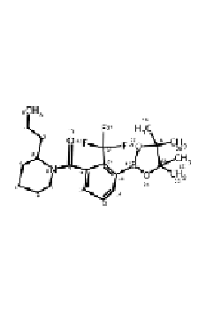 CCCC1CCCCN1C(=O)c1cccc(B2OC(C)(C)C(C)(C)O2)c1C(F)(F)F